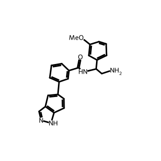 COc1cccc(C(CN)NC(=O)c2cccc(-c3ccc4[nH]ncc4c3)c2)c1